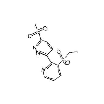 CCS(=O)(=O)c1cccnc1-c1ccc(S(C)(=O)=O)nn1